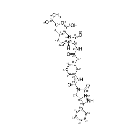 CC(=O)OCC1=C(C(=O)O)N2C(=O)C(NC(=O)Cc3cccc(NC(=O)N4CC5C(c6ccccc6)NN5C4=O)c3)[C@@H]2SC1